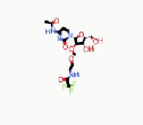 CC(=O)Nc1ccn([C@@H]2O[C@H](CO)[C@H](O)[C@H]2OCOCCNC(=O)C(F)(F)F)c(=O)n1